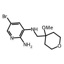 COC1(CNc2cc(Br)cnc2N)CCOCC1